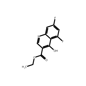 CCOC(=O)c1cnc2cc(F)cc(F)c2c1O